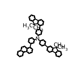 CC1(C)c2ccccc2-c2ccc(-c3ccc(N(c4ccc(-c5cccc6c5C(C)(C)c5ccccc5-6)cc4)c4cccc(-c5cccc6c5ccc5ccccc56)c4)cc3)cc21